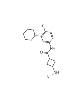 N#CNC1CC(C(=O)Nc2ccc(F)c(N3CCCCC3)c2)C1